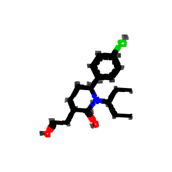 CCC(CC)N1C(=O)C(CC=O)CCC1c1ccc(Cl)cc1